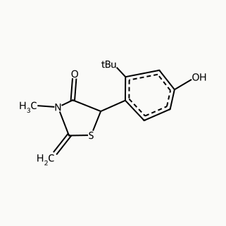 C=C1SC(c2ccc(O)cc2C(C)(C)C)C(=O)N1C